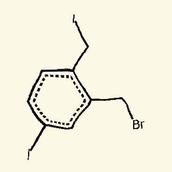 BrCc1cc(I)ccc1CI